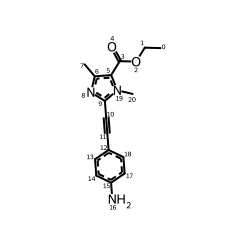 CCOC(=O)c1c(C)nc(C#Cc2ccc(N)cc2)n1C